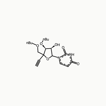 C#CC1(COCCCC)OC(n2ccc(=O)[nH]c2=O)[C@H](O)[C@@H]1OCCCC